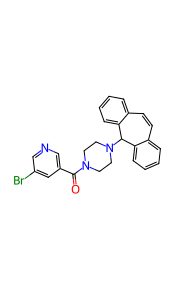 O=C(c1cncc(Br)c1)N1CCN(C2c3ccccc3C=Cc3ccccc32)CC1